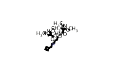 COc1nn(C)cc1C(=O)NOCCC(/C=C/CC1CCC1)OC(=O)c1cn(C)nc1OC